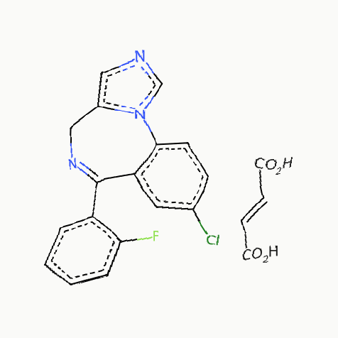 Fc1ccccc1C1=NCc2cncn2-c2ccc(Cl)cc21.O=C(O)C=CC(=O)O